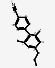 CCCc1cc(C)c(-c2ccc(C#N)cc2)c(C)c1